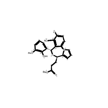 COC(=O)CC[C@H]1O[C@H](c2cccc(OC)c2OC)c2c(ccc(Cl)c2C#N)-n2cccc21